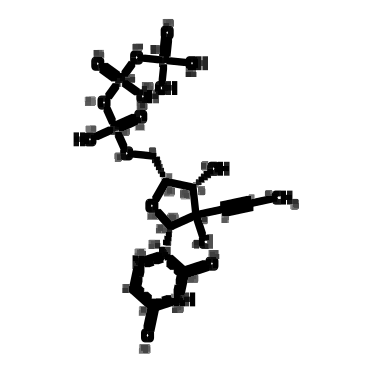 CC#CC1(Cl)[C@@H](O)[C@@H](COP(=O)(O)OP(=O)(O)OP(=O)(O)O)O[C@H]1n1ncc(=O)[nH]c1=O